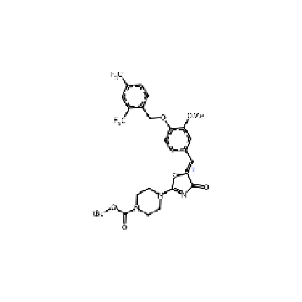 COc1cc(/C=C2\SC(N3CCN(C(=O)OC(C)(C)C)CC3)=NC2=O)ccc1OCc1ccc(C(F)(F)F)cc1C(F)(F)F